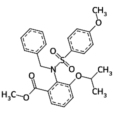 COC(=O)c1cccc(OC(C)C)c1N(Cc1ccccc1)S(=O)(=O)c1ccc(OC)cc1